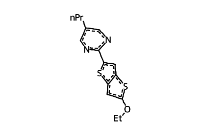 CCCc1cnc(-c2cc3sc(OCC)cc3s2)nc1